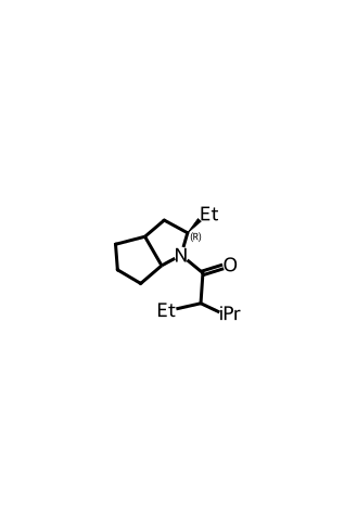 CCC(C(=O)N1C2CCCC2C[C@H]1CC)C(C)C